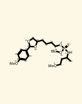 COCCC(C)NP(=S)(OCCCCC1COC(c2ccc(OC)cc2)O1)OC(C)(C)C